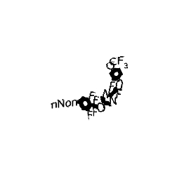 CCCCCCCCCc1cc(F)c(C(F)(F)Oc2cnc(C(F)(F)Oc3ccc(OC(F)(F)F)cc3)nc2)c(F)c1